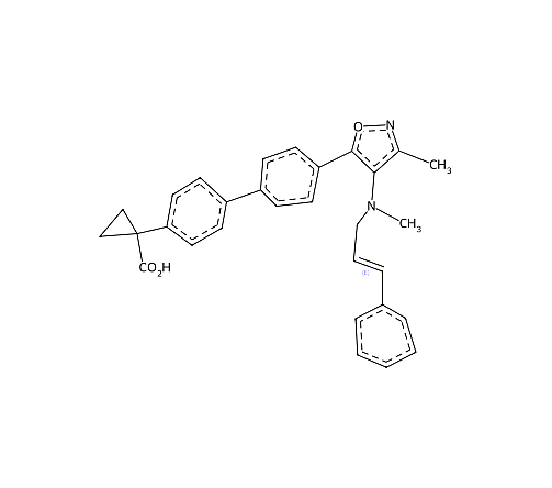 Cc1noc(-c2ccc(-c3ccc(C4(C(=O)O)CC4)cc3)cc2)c1N(C)C/C=C/c1ccccc1